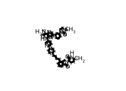 C=C1CCC(N2Cc3c(CCCCN4CCN(c5ccc(Nc6nc(N7CCC[C@H](N8CCN(C)C8=O)C7)cnc6C(N)=O)cn5)CC4)cccc3C2=O)C(=O)N1